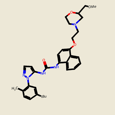 COCC1CN(CCOc2ccc(NC(=O)Nc3ccnn3-c3cc(C(C)(C)C)ccc3C)c3ccccc23)CCO1